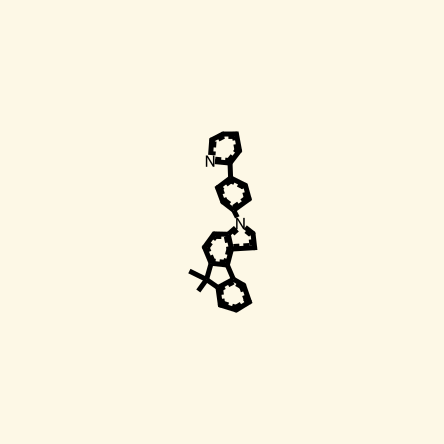 CC1(C)c2ccccc2-c2c1ccc1c2ccn1-c1ccc(-c2ccccn2)cc1